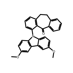 COc1ccc2c(c1)c1cc(OC)ccc1n2-c1cccc2c1C(=O)c1ccccc1CC2